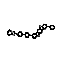 c1ccc(-c2ccc3oc4cc5c(cc4c3c2)oc2ccc(-c3ccc(-c4ccc(-c6cn7ccccc7n6)cc4)cc3)cc25)cc1